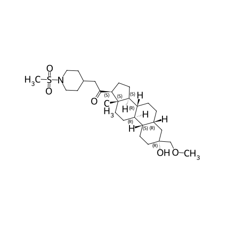 COC[C@@]1(O)CC[C@H]2[C@H](CC[C@@H]3[C@@H]2CC[C@]2(C)[C@@H](C(=O)CC4CCN(S(C)(=O)=O)CC4)CC[C@@H]32)C1